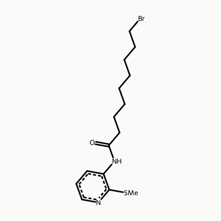 CSc1ncccc1NC(=O)CCCCCCCCBr